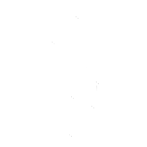 Cc1c(Nc2c(C#N)cnc3sc(C#Cc4cc(CN(C)C)ccn4)cc23)ccc2[nH]ccc12